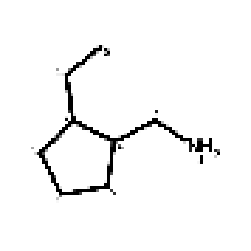 CCC1CCCC1CN